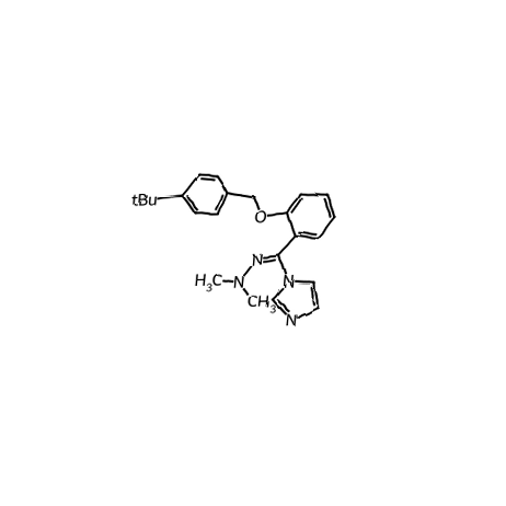 CN(C)N=C(c1ccccc1OCc1ccc(C(C)(C)C)cc1)n1ccnc1